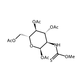 COC(=S)N[C@H]1[C@@H](OC(C)=O)O[C@H](COC(C)=O)[C@@H](OC(C)=O)[C@@H]1OC(C)=O